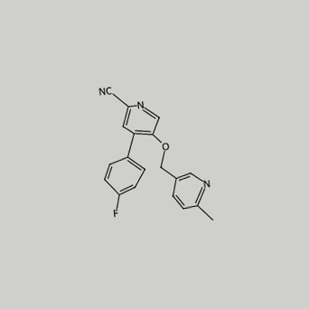 Cc1ccc(COc2cnc(C#N)cc2-c2ccc(F)cc2)cn1